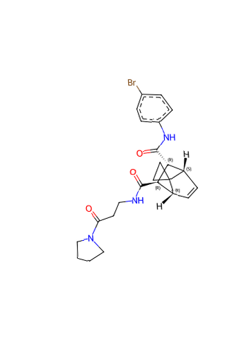 O=C(NCCC(=O)N1CCCC1)[C@H]1[C@H](C(=O)Nc2ccc(Br)cc2)[C@@H]2C=C[C@H]1C21CC1